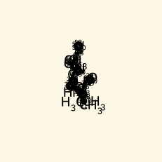 COc1cc2c(Oc3ccc4c(C(=O)Nc5cc(C(C)(C)C)ccc5OCCN5CCOCC5)cccc4c3)ccnc2cc1OCCCN1CCCCC1